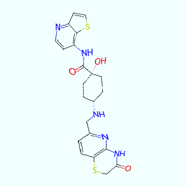 O=C1CSc2ccc(CN[C@H]3CC[C@](O)(C(=O)Nc4ccnc5ccsc45)CC3)nc2N1